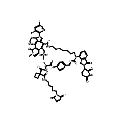 C[C@H](NC(=O)C1(C(=O)NCCCCCN2C(=O)C=CC2=O)CCC1)C(=O)Nc1ccc(COC(=O)N(CCCCCCCNC(=O)C2=C(CS(C)(=O)=O)c3ccn(C)c(=O)c3C3=C4C2=CN(c2ncc(F)cc2F)C4CCN3)c2cccc3c2CN(C2CCC(=O)NC2=O)C3=O)cc1